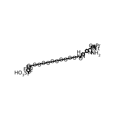 CCCN(OCC)C(=O)C1=Cc2ccc(-c3ccc(C(=O)NCCOCCOCCOCCOCCOCCOCCOCCOCCOCCOCCC(=O)Oc4c(F)c(F)c(S(=O)(=O)O)c(F)c4F)nc3)cc2N=C(N)C1